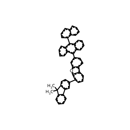 CC1(C)c2ccccc2-c2cc(-c3cccc4c3oc3cc(-c5c6ccccc6c(-c6cccc7ccccc67)c6ccccc56)ccc34)ccc21